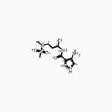 CCC(CCN(C)S(C)(=O)=O)NC(=O)c1n[nH]cc1N